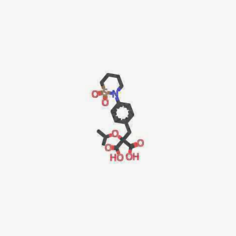 CC(C)OC(Cc1ccc(N2CCCCS2(=O)=O)cc1)(C(=O)O)C(=O)O